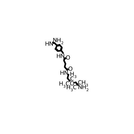 CC(C)(N)COC(C)(C)CCNC(=O)CCCC(=O)NCc1ccc(C(=N)N)cc1